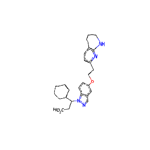 O=C(O)CC(C1CCCCC1)n1ncc2cc(OCCc3ccc4c(n3)NCCC4)ccc21